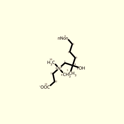 CCCCCCCCCCCCC(C)(O)C[N+](C)(C)CCC(=O)[O-]